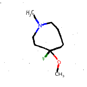 COC1(F)CCCN(C)CC1